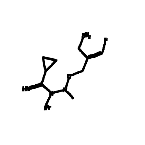 CC(C)N(C(=N)C1CC1)N(C)OC/C(=C/F)CN